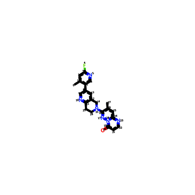 Cc1cc(F)ncc1-c1cnc2c(c1)CN(c1nn3c(=O)ccnc3cc1C)CC2